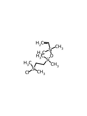 C=C[Si](C)(C)O[Si](C)(C)CC[Si](C)(C)Cl